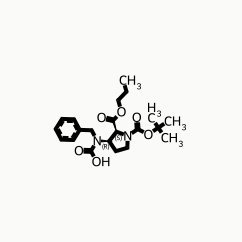 CCCOC(=O)[C@@H]1[C@H](N(Cc2ccccc2)C(=O)O)CCN1C(=O)OC(C)(C)C